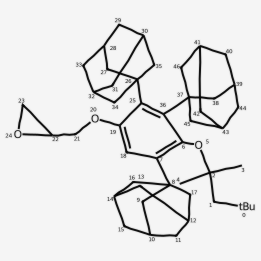 CC(C)(C)CC(C)(C)Oc1c(C23CC4CC(CC(C4)C2)C3)cc(OCC2CO2)c(C23CC4CC(CC(C4)C2)C3)c1C12CC3CC(CC(C3)C1)C2